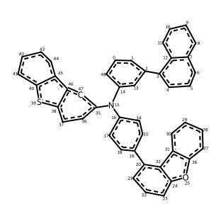 c1cc(-c2cccc3ccccc23)cc(N(c2ccc(-c3cccc4oc5ccccc5c34)cc2)c2ccc3sc4ccccc4c3c2)c1